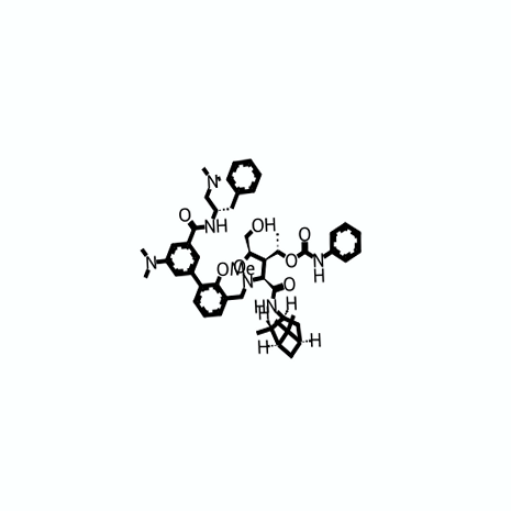 COc1c(CN2O[C@@H](CO)[C@@H]([C@H](C)OC(=O)Nc3ccccc3)[C@H]2C(=O)N[C@H]2C[C@H]3C[C@@H]([C@@H]2C)C3(C)C)cccc1-c1cc(C(=O)N[C@@H](Cc2ccccc2)CN(C)C)cc(N(C)C)c1